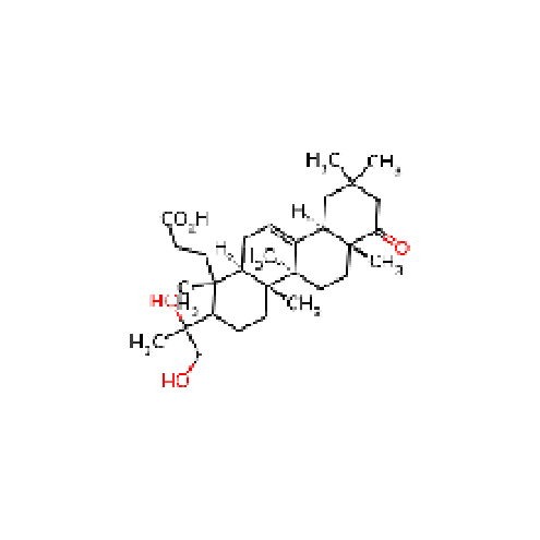 CC1(C)CC(=O)[C@]2(C)CC[C@]3(C)C(=CC[C@@H]4[C@@](C)(CCC(=O)O)C(C(C)(O)CO)CC[C@]43C)[C@H]2C1